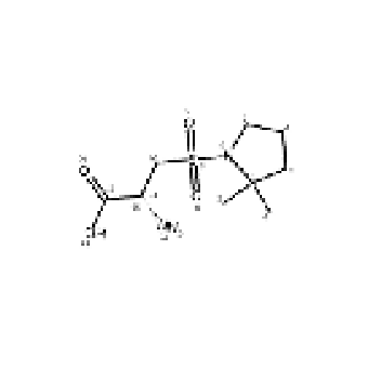 CC1(C)CCCN1S(=O)(=O)C[C@H](N)C(=O)O